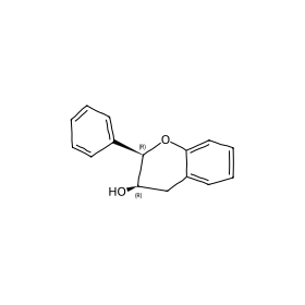 O[C@@H]1Cc2ccccc2O[C@@H]1c1ccccc1